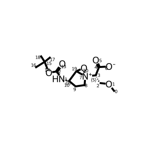 COC[C@@H](C(=O)[O-])[N+]12CC[C@H](NC(=O)OC(C)(C)C)C1O2